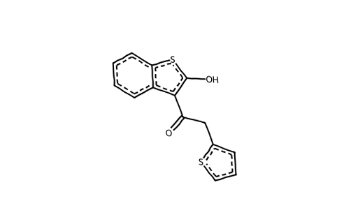 O=C(Cc1cccs1)c1c(O)sc2ccccc12